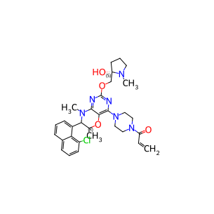 C=CC(=O)N1CCN(c2nc(OC[C@@]3(O)CCCN3C)nc3c2O[C@H](C)C(c2cccc4cccc(Cl)c24)N3C)CC1